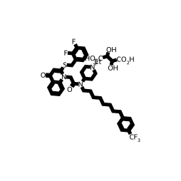 CCN1CCC(N(CCCCCCCCc2ccc(C(F)(F)F)cc2)C(=O)Cn2c(SCc3cccc(F)c3F)cc(=O)c3ccccc32)CC1.O=C(O)C(O)C(O)C(=O)O